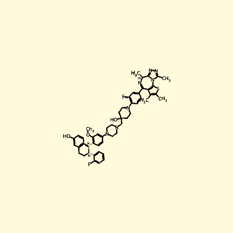 COc1cc(N2CCN(CC3(O)CCN(c4ccc(C5=N[C@@H](C)c6nnc(C)n6-c6sc(C)c(C)c65)cc4F)CC3)CC2)ccc1[C@H]1c2ccc(O)cc2CC[C@H]1c1ccccc1F